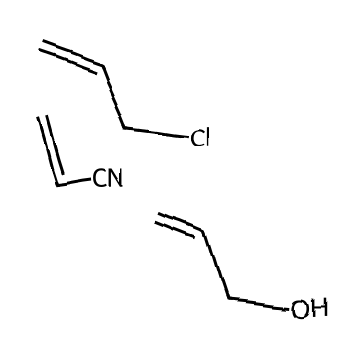 C=CC#N.C=CCCl.C=CCO